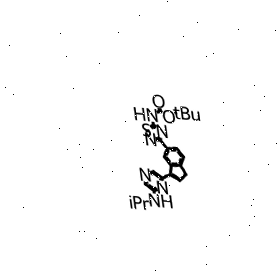 CC(C)Nc1cncc(C2=CCc3ccc(-c4nsc(NC(=O)OC(C)(C)C)n4)cc32)n1